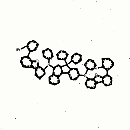 CC(C)c1ccccc1-c1cccc2c1oc1c(N(c3ccccc3)c3ccc4c(c3)C(c3ccccc3)(c3ccccc3)c3cc(N(c5ccccc5)c5cccc6c5oc5c(-c7ccccc7C(C)C)cccc56)c5ccccc5c3-4)cccc12